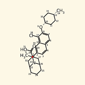 CC(c1ccc2ccc(O[C@H]3CC[C@@H](C)CC3)c(Cl)c2c1)N1C2CCCC1CC(C(=O)O)C2